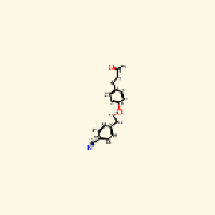 CC(=O)CCc1ccc(OCCc2ccc(C#N)cc2)cc1